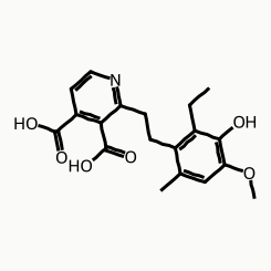 CCc1c(O)c(OC)cc(C)c1CCc1nccc(C(=O)O)c1C(=O)O